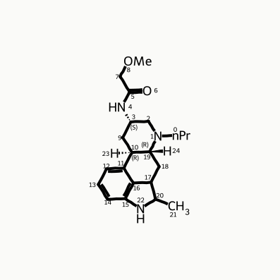 CCCN1C[C@@H](NC(=O)COC)C[C@@H]2c3cccc4c3C(C[C@H]21)C(C)N4